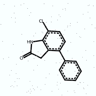 O=C1Cc2c(-c3ccccc3)ccc(Cl)c2N1